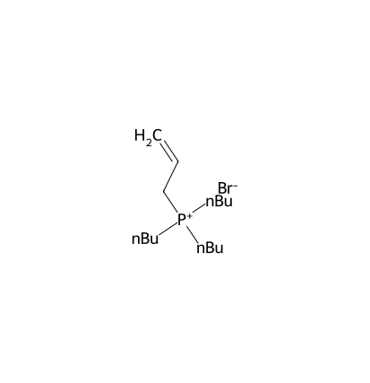 C=CC[P+](CCCC)(CCCC)CCCC.[Br-]